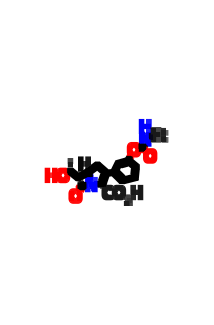 CCNC(=O)Oc1cccc(C2=C(C(=O)O)N3C(=O)[C@H]([C@@H](C)O)[C@H]3C2)c1